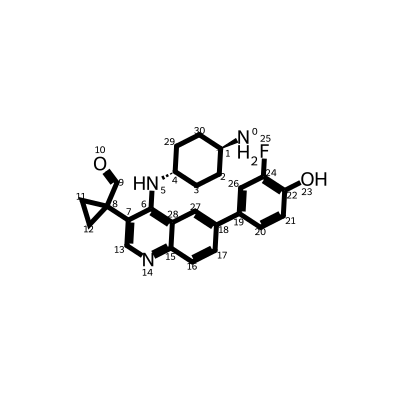 N[C@H]1CC[C@H](Nc2c(C3(C=O)CC3)cnc3ccc(-c4ccc(O)c(F)c4)cc23)CC1